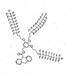 O=C(OCc1cc(OCCCC(F)(F)C(F)(F)C(F)(F)C(F)(F)C(F)(F)C(F)(F)C(F)(F)C(F)(F)F)c(OCCCC(F)(F)C(F)(F)C(F)(F)C(F)(F)C(F)(F)C(F)(F)C(F)(F)C(F)(F)F)c(OCCCC(F)(F)C(F)(F)C(F)(F)C(F)(F)C(F)(F)C(F)(F)C(F)(F)C(F)(F)F)c1)C1c2ccccc2Cc2ccccc21